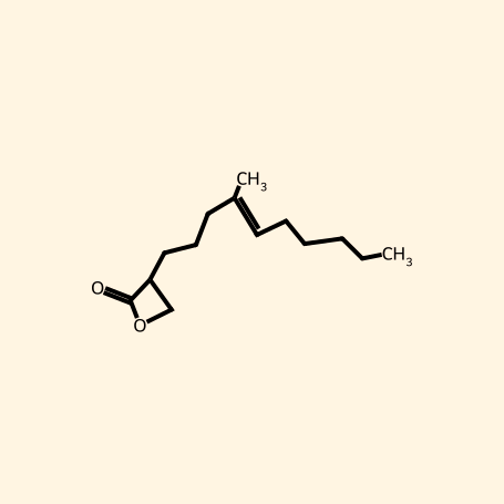 CCCCCC=C(C)CCCC1COC1=O